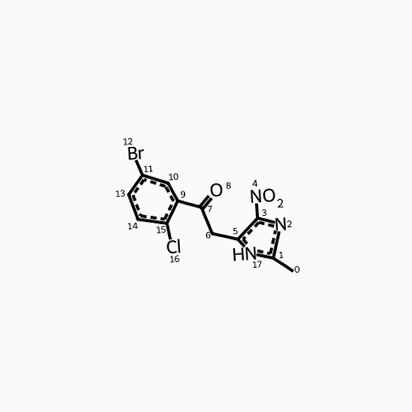 Cc1nc([N+](=O)[O-])c(CC(=O)c2cc(Br)ccc2Cl)[nH]1